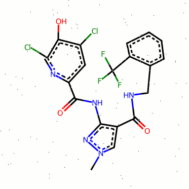 Cn1cc(C(=O)NCc2ccccc2C(F)(F)F)c(NC(=O)c2cc(Cl)c(O)c(Cl)n2)n1